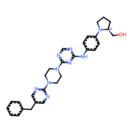 OC[C@@H]1CCCN1c1ccc(Nc2ncnc(N3CCN(c4ncc(Cc5ccccc5)cn4)CC3)n2)cc1